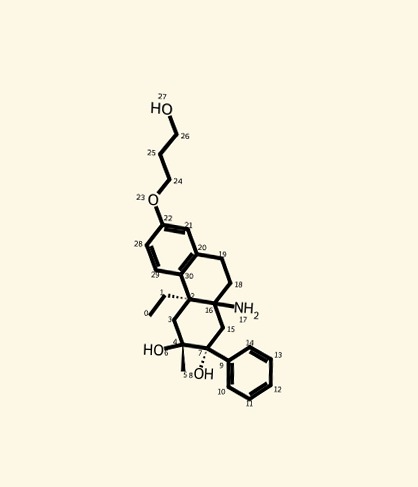 CC[C@@]12C[C@@](C)(O)[C@](O)(c3ccccc3)CC1(N)CCc1cc(OCCCO)ccc12